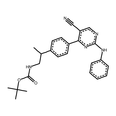 CC(CNC(=O)OC(C)(C)C)c1ccc(-c2nc(Nc3ccccc3)ncc2C#N)cc1